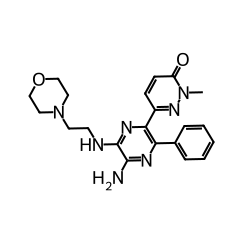 Cn1nc(-c2nc(NCCN3CCOCC3)c(N)nc2-c2ccccc2)ccc1=O